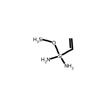 C=C[Si](N)(N)O[SiH3]